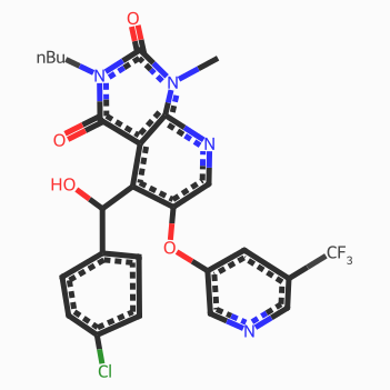 CCCCn1c(=O)c2c(C(O)c3ccc(Cl)cc3)c(Oc3cncc(C(F)(F)F)c3)cnc2n(C)c1=O